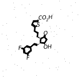 O=C(O)c1ccc(CCC[C@H]2C(=O)C[C@@H](O)[C@@H]2/C=C/c2cc(F)cc(F)c2)s1